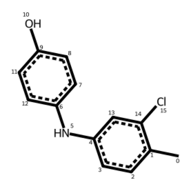 Cc1ccc(Nc2ccc(O)cc2)cc1Cl